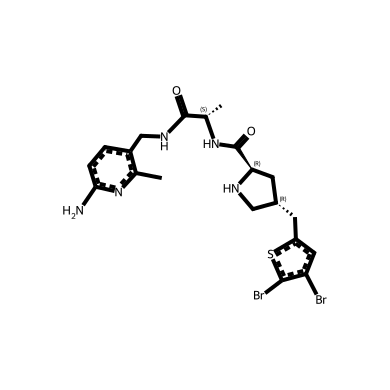 Cc1nc(N)ccc1CNC(=O)[C@H](C)NC(=O)[C@H]1C[C@H](Cc2cc(Br)c(Br)s2)CN1